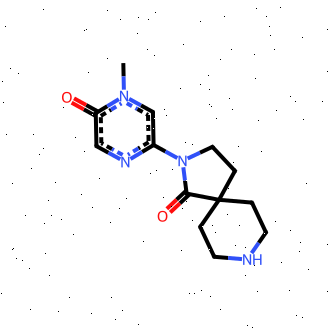 Cn1cc(N2CCC3(CCNCC3)C2=O)ncc1=O